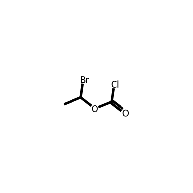 CC(Br)OC(=O)Cl